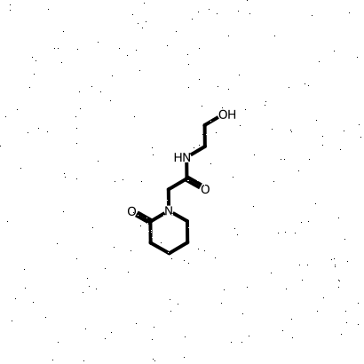 O=C(CN1CCCCC1=O)NCCO